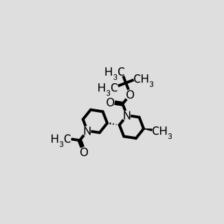 CC(=O)N1CCCC([C@H]2CC[C@H](C)CN2C(=O)OC(C)(C)C)C1